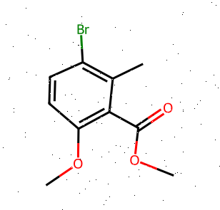 COC(=O)c1c(OC)ccc(Br)c1C